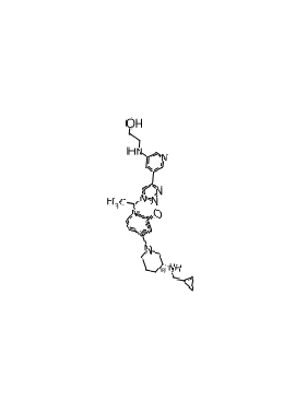 CC(n1cc(-c2cncc(NCCO)c2)nn1)n1ccc(N2CCC[C@@H](NCC3CC3)C2)cc1=O